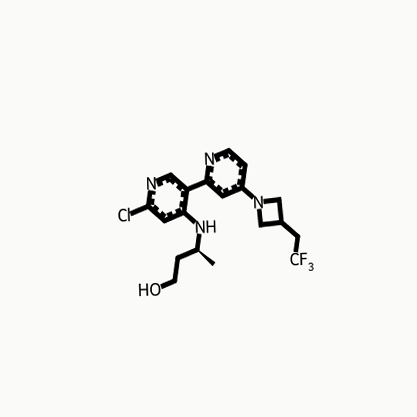 C[C@@H](CCO)Nc1cc(Cl)ncc1-c1cc(N2CC(CC(F)(F)F)C2)ccn1